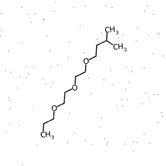 CCCOCCOCCOCCC(C)C